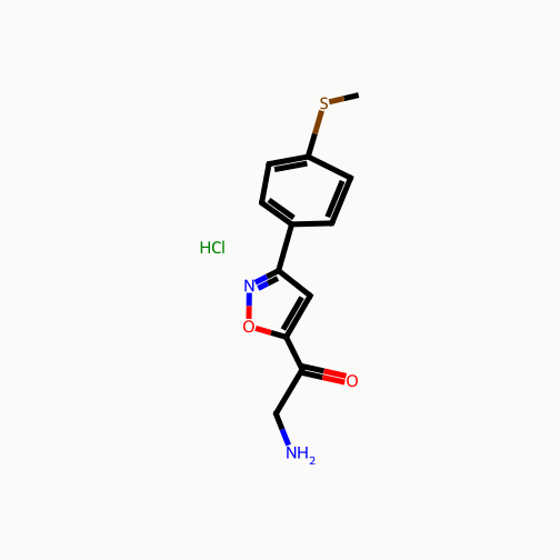 CSc1ccc(-c2cc(C(=O)CN)on2)cc1.Cl